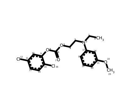 CCN(CCOC(=O)Oc1cc(Cl)ccc1Cl)c1cccc(OC)c1